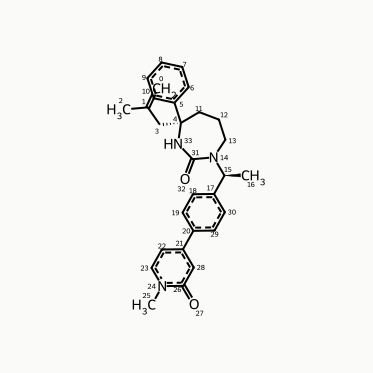 C=C(C)C[C@]1(c2ccccc2)CCCN([C@@H](C)c2ccc(-c3ccn(C)c(=O)c3)cc2)C(=O)N1